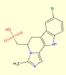 Cc1ncc2n1C(CS(=O)(=O)O)Cc1c-2[nH]c2ccc(Br)cc12